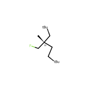 CC(C)(C)CC[C@](C)(CF)CC(C)(C)C